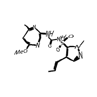 CC=Cc1cnn(C)c1S(=O)(=O)NC(=O)Nc1nc(C)cc(OC)n1